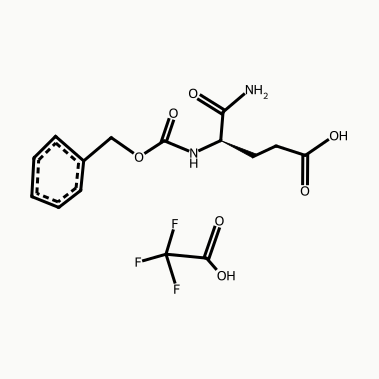 NC(=O)[C@@H](CCC(=O)O)NC(=O)OCc1ccccc1.O=C(O)C(F)(F)F